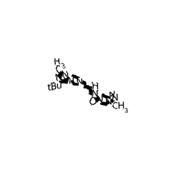 Cc1nc(N2CCN(CCCCNC(=O)N3CCn4c(C)nnc4C3)CC2)cc(C(C)(C)C)n1